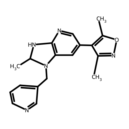 Cc1noc(C)c1-c1cnc2c(c1)N(Cc1cccnc1)C(C)N2